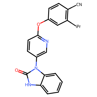 CC(C)c1cc(Oc2ccc(-n3c(=O)[nH]c4ccccc43)cn2)ccc1C#N